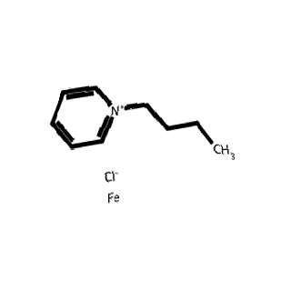 CCCC[n+]1ccccc1.[Cl-].[Fe]